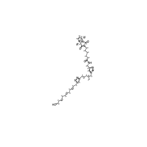 C[C@@H](COCc1cn(CCOCCOCCOCCO)nn1)Cn1cc(CNC(=O)CCCCCN2C(=O)C3C(C2=O)[C@H]2C=C[C@@H]3C2)nn1